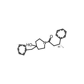 C[C@H](CC(=O)N1CCC(O)(Cc2c[c]ccc2)CC1)c1ccccc1